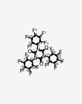 O=c1n(-c2c(F)c(F)c(F)c(F)c2F)c(=O)n(-c2c(F)c(F)c(F)c(F)c2F)c(=O)n1-c1c(F)c(F)c(F)c(F)c1F